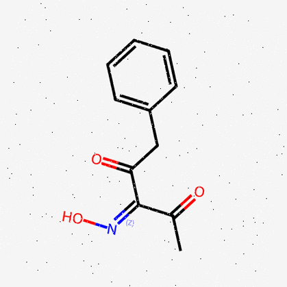 CC(=O)/C(=N/O)C(=O)Cc1ccccc1